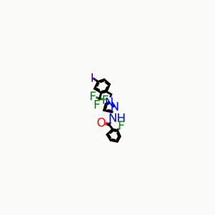 O=C(Nc1ccn(Cc2ccc(I)cc2C(F)(F)F)n1)c1ccccc1F